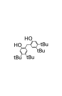 CC(C)(C)c1cc(O)c(Cc2cc(C(C)(C)C)c(C(C)(C)C)cc2O)cc1C(C)(C)C